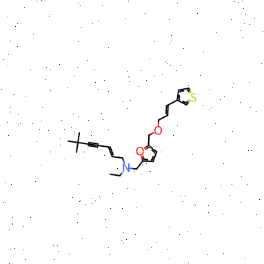 CCN(C/C=C/C#CC(C)(C)C)Cc1ccc(COC/C=C/c2ccsc2)o1